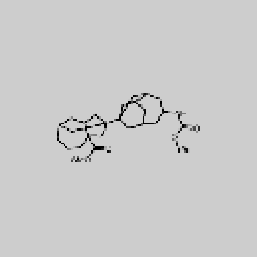 COC(=O)C12CCCC3CC1CC(C14CC5CC(NC(=O)OC(C)(C)C)CC(C1)C(C5)C4)(C3)C2